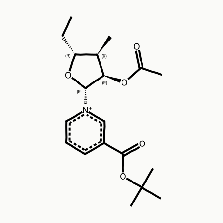 CC[C@H]1O[C@@H]([n+]2cccc(C(=O)OC(C)(C)C)c2)[C@H](OC(C)=O)[C@@H]1C